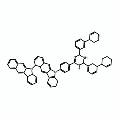 C1=CCC(c2cccc(C3N=C(c4ccc(-n5c6c(c7c5=CC5=CC=CC(N8c9cc%10ccccc%10cc9C9C=CC=CC98)C5C=7)C=CCC6)cc4)NC(C4=CC=CC(C5C=CCCC5)C4)N3)c2)C=C1